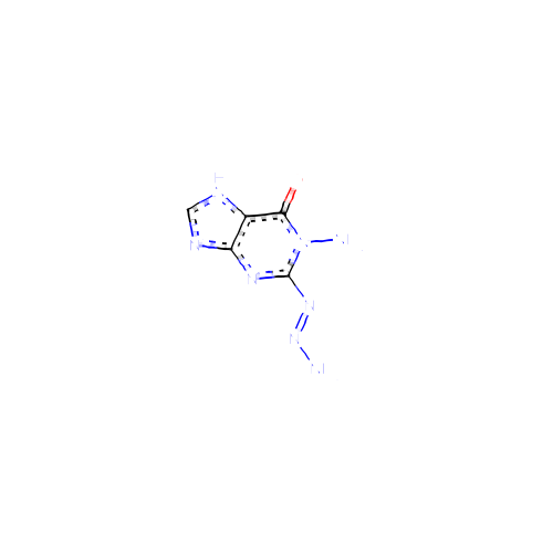 NN=Nc1nc2nc[nH]c2c(=O)n1N